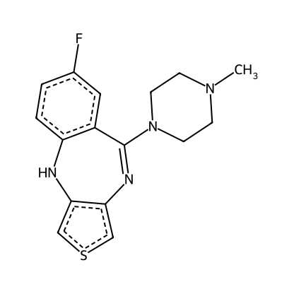 CN1CCN(C2=Nc3cscc3Nc3ccc(F)cc32)CC1